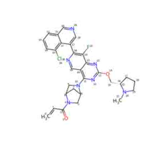 C=CC(=O)N1CC2CC1CN2c1nc(OC[C@@H]2CCCN2C)nc2c(F)c(-c3cncc4cccc(Cl)c34)ncc12